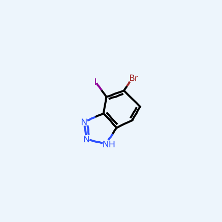 Brc1ccc2[nH]nnc2c1I